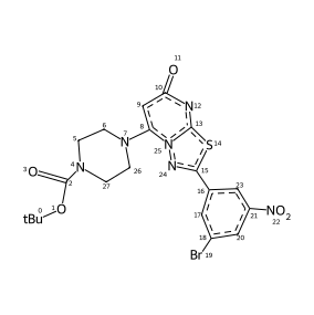 CC(C)(C)OC(=O)N1CCN(c2cc(=O)nc3sc(-c4cc(Br)cc([N+](=O)[O-])c4)nn23)CC1